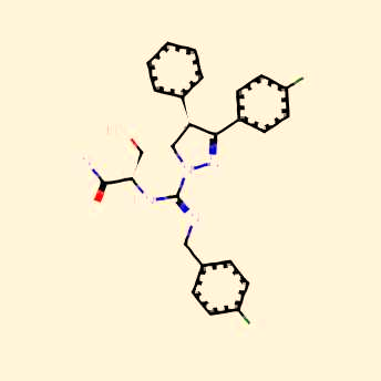 NC(=O)[C@@H](CO)N/C(=N\Cc1ccc(Cl)cc1)N1C[C@@H](c2ccccc2)C(c2ccc(Cl)cc2)=N1